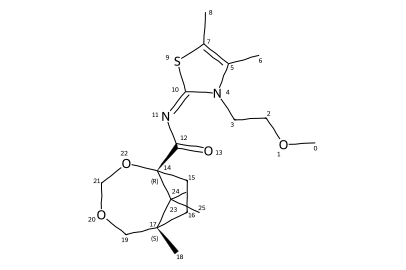 COCCn1c(C)c(C)sc1=NC(=O)[C@]12CC[C@](C)(COCO1)C2(C)C